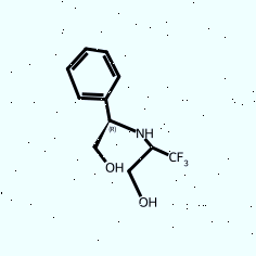 OCC(N[C@@H](CO)c1ccccc1)C(F)(F)F